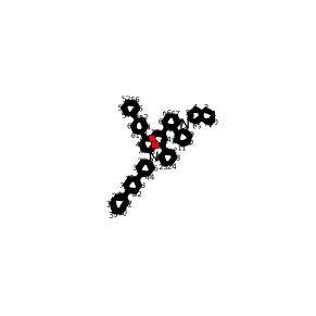 c1ccc2ccc(-n3c4ccccc4c4c(-c5cccc(-c6ccccc6N(c6ccc(-c7ccc(-c8ccccc8)cc7)cc6)c6ccc(C7C=CC(c8ccccc8)=CC7)cc6)c5)cccc43)cc2c#1